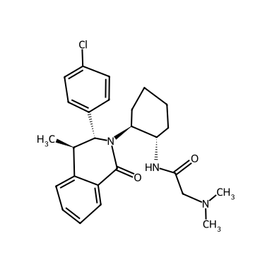 C[C@@H]1c2ccccc2C(=O)N([C@H]2CCCC[C@@H]2NC(=O)CN(C)C)[C@H]1c1ccc(Cl)cc1